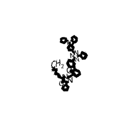 C=CCC/C=C/c1nc(-c2cccc3c2oc2ccc(-c4nc(-c5ccccc5)nc(-c5ccc6c(c5)c5ccccc5n6-c5ccccc5)n4)cc23)nc2c1oc1ccccc12